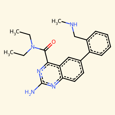 CCN(CC)C(=O)c1nc(N)nc2ccc(-c3ccccc3CNC)cc12